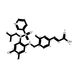 C=S(=O)(c1cccnc1)N(CC(C)C)c1cc(Cl)c(C)cc1OCc1ccc(/C=C/C(=O)O)cc1C